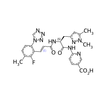 Cc1ccc(-n2cnnn2)c(/C=C/C(=O)N[C@@H](Cc2cc(C)n(C)n2)C(=O)Nc2ccc(C(=O)O)cn2)c1F